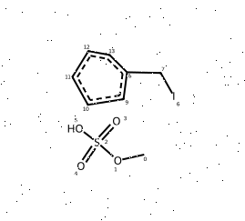 COS(=O)(=O)O.ICc1ccccc1